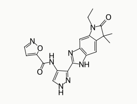 CCN1C(=O)C(C)(C)c2cc3[nH]c(-c4n[nH]cc4NC(=O)c4ccno4)nc3cc21